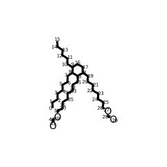 CCCCCCCCC1C(CCCCCC)CCC(CCCCCCCCOC=O)C1CCCCCCCCOC=O